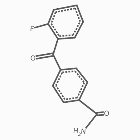 NC(=O)c1ccc(C(=O)c2ccccc2F)cc1